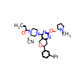 C=CC(=O)N1CCN(c2nc(OC[C@@H]3CCCN3C)nc3c2COC(c2cccc(C(C)C)c2)C3)C[C@@H]1CC#N